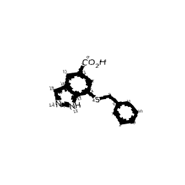 O=C(O)c1cc(SCc2ccccc2)c2[nH]ncc2c1